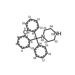 Clc1ccccc1C(c1ccccc1)(c1ccccc1)N1CCNCC1